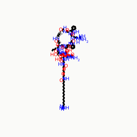 CCCC[C@H](NC(=O)[C@@H](NC(=O)[C@H](Cc1c[nH]cn1)NC(=O)[C@H](CCC(N)=O)NC(=O)[C@H](CO)NC(=O)CNC(=O)COCCOCCNC(=O)CCCCCCCCCCCCCCCc1nnn[nH]1)[C@@H](C)O)C(=O)N[C@H]1CCC(=O)NCCCC[C@@H](C(C)=O)NC(=O)[C@H](Cc2c[nH]c3ccccc23)NC(=O)[C@H](CCCNC(=N)N)NC(=O)[C@@H](Cc2ccccc2)NC(=O)[C@@H]2C[C@@H](O)CN2C1=O